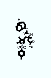 COC(=O)CC(C)(Cc1cn(S(=O)(=O)c2ccc(C)cc2)c(C)c1C)NC(=O)OC1CC[C@@H]2CC3CC1CC2C3